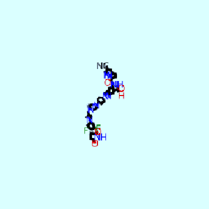 C[C@@H]1CN(C2CCC(n3cc4cc(NC(=O)c5ccc6cc(C#N)cnn56)c(C(C)(C)O)cc4n3)CC2)CCN1CC1CN(c2cc(F)c([C@H]3CCC(=O)NC3=O)c(F)c2)C1